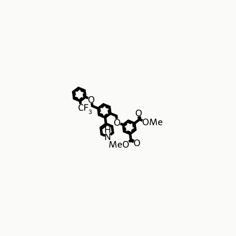 COC(=O)c1cc(OCc2ccc(COc3ccccc3C(F)(F)F)cc2C2=CCNCC2)cc(C(=O)OC)c1